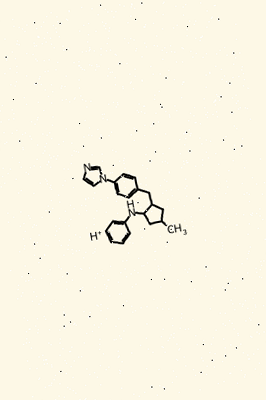 CC1CC(Cc2ccc(-n3ccnc3)cc2)C(Nc2ccccc2)C1.[H+]